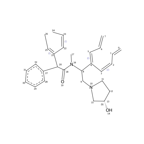 C=C/C=C\C(=C/C=C)C(CN1CC[C@H](O)C1)N(C)C(=O)C(C(/C=C\C)=C/C)c1ccccc1